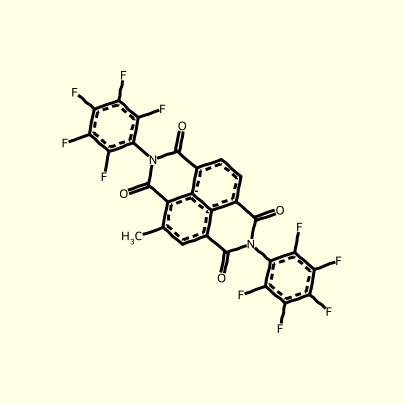 Cc1cc2c3c(ccc4c3c1C(=O)N(c1c(F)c(F)c(F)c(F)c1F)C4=O)C(=O)N(c1c(F)c(F)c(F)c(F)c1F)C2=O